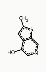 Cc1cc2c(O)cncc2s1